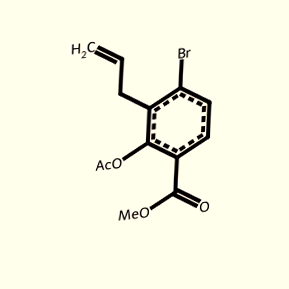 C=CCc1c(Br)ccc(C(=O)OC)c1OC(C)=O